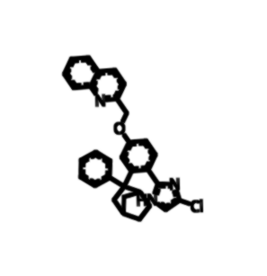 Clc1c[nH]c(-c2ccc(OCc3ccc4ccccc4n3)cc2C2(c3ccccc3)CC3CCC2C3)n1